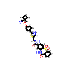 N#CC1(COc2ccc(-c3ncc(CNC(=O)c4ccc5c(c4)NC(=O)c4ccccc4S5(=O)=O)s3)cc2)CCC1